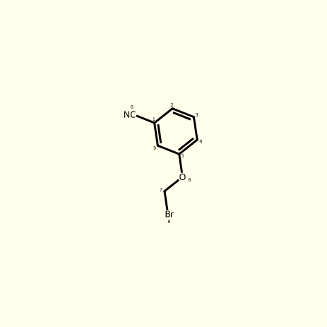 N#Cc1cccc(OCBr)c1